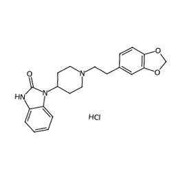 Cl.O=c1[nH]c2ccccc2n1C1CCN(CCc2ccc3c(c2)OCO3)CC1